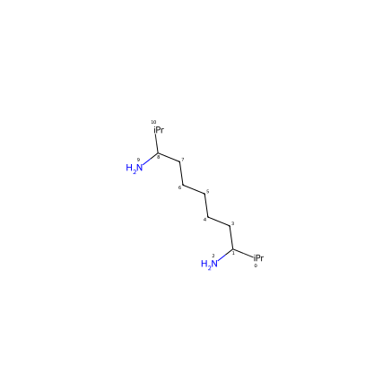 CC(C)C(N)CCCCCC(N)C(C)C